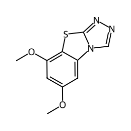 COc1cc(OC)c2sc3nncn3c2c1